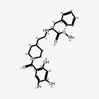 CC(C)c1cc(C(=O)N2CCC(CCN[C@@H](Cc3ccccc3)C(=O)OC(C)(C)C)CC2)c(O)cc1O